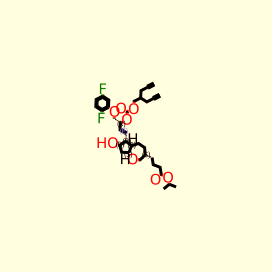 C#CCC(CC#C)COC(=O)O[C@H](/C=C/[C@@H]1[C@H]2CC[C@H](CCCC(=O)OC(C)C)CO[C@H]2C[C@H]1O)COc1cc(F)ccc1F